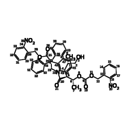 C[C@H](CO)[C@@H]1[C@@H]([C@@H](C)OC(=O)OCc2ccccc2[N+](=O)[O-])C(=O)N1CP(C(=O)OCc1ccccc1[N+](=O)[O-])(c1ccccc1)(c1ccccc1)c1ccccc1